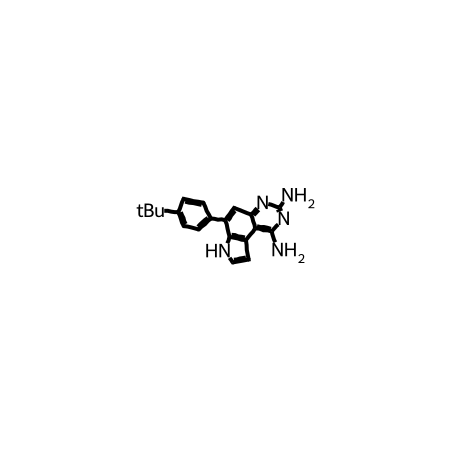 CC(C)(C)c1ccc(-c2cc3nc(N)nc(N)c3c3cc[nH]c23)cc1